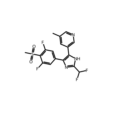 Cc1cncc(-c2[nH]c(C(F)F)nc2-c2cc(F)c(S(C)(=O)=O)c(F)c2)c1